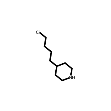 ClCCCCC1CCNCC1